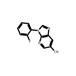 N#Cc1cnc2c(c1)ncn2-c1ccccc1F